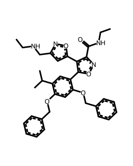 CCNCc1cc(-c2c(C(=O)NCC)noc2-c2cc(C(C)C)c(OCc3ccccc3)cc2OCc2ccccc2)on1